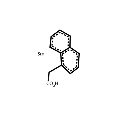 O=C(O)Cc1cccc2ccccc12.[Sm]